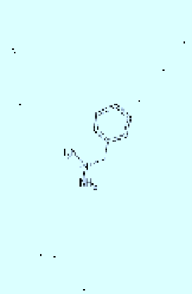 N[N+](N)Cc1ccccc1